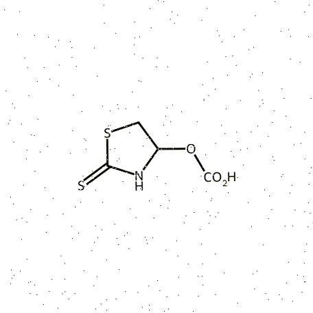 O=C(O)OC1CSC(=S)N1